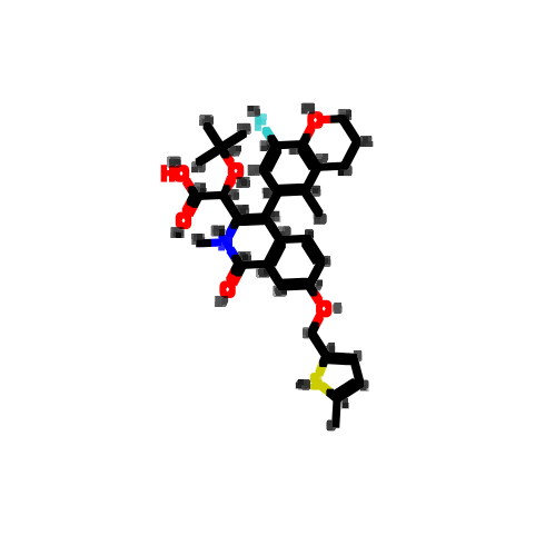 Cc1ccc(COc2ccc3c(-c4cc(F)c5c(c4C)CCCO5)c([C@H](OC(C)(C)C)C(=O)O)n(C)c(=O)c3c2)s1